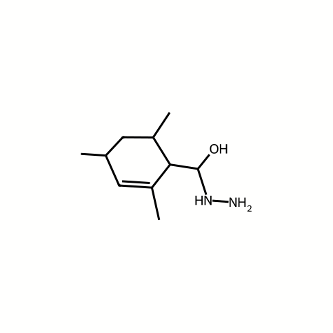 CC1=CC(C)CC(C)C1C(O)NN